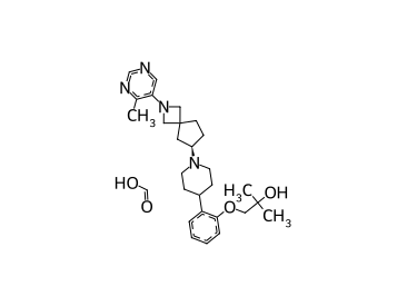 Cc1ncncc1N1CC2(CC[C@@H](N3CCC(c4ccccc4OCC(C)(C)O)CC3)C2)C1.O=CO